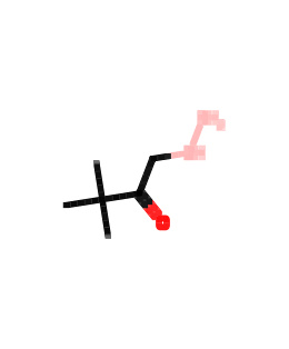 BBCC(=O)C(C)(C)C